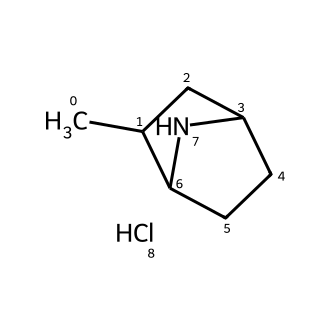 CC1CC2CCC1N2.Cl